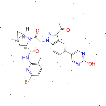 CC(=O)c1nn(CC(=O)N2[C@H](C(=O)Nc3nc(Br)ccc3C)C[C@@]3(C)C[C@@H]23)c2ccc(-c3cnc(O)nc3)cc12